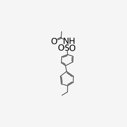 CCc1ccc(-c2ccc(S(=O)(=O)NC(C)=O)cc2)cc1